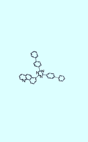 c1ccc(-c2ccc(-c3nc(-c4ccc(-c5ccccc5)cc4)nc(-c4cccc5c4ccc4cccnc45)n3)cc2)cc1